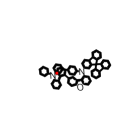 c1ccc(-c2ccc(N(c3ccc4c(c3)C3(c5ccccc5-c5ccccc53)c3ccccc3-4)c3cccc4oc5ccc(-c6cccc7c6c6ccccc6n7-c6ccccc6)cc5c34)cc2)cc1